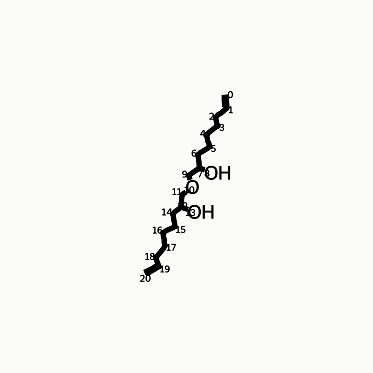 C=CCCCCCC(O)COCC(O)CCCCCC=C